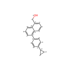 OCc1cccc2c(-c3ccc(C4CC4)cc3)cccc12